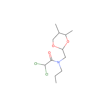 CCCN(CC1OCC(C)C(C)O1)C(=O)C(Cl)Cl